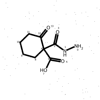 NNC(=O)C1(C(=O)O)CCCCC1=O